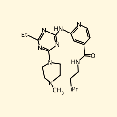 CCc1nc(Nc2cc(C(=O)NCCC(C)C)ccn2)nc(N2CCN(C)CC2)n1